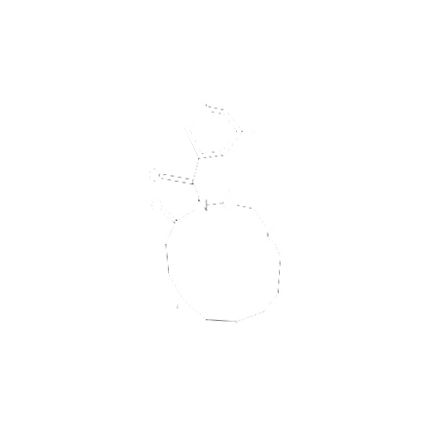 O=C1CCCCCCCCCCCN1C(=O)c1ccccc1